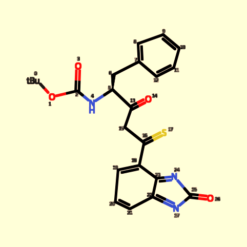 CC(C)(C)OC(=O)N[C@@H](Cc1ccccc1)C(=O)CC(=S)c1cccc2c1=NC(=O)N=2